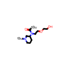 CC(C)(C)C(=O)N(CCOCCO)C1CCCN(C(C)(C)C)C1